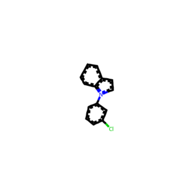 Clc1cccc(-n2ccc3c[c]ccc32)c1